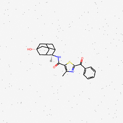 Cc1nc(C(=O)c2ccccc2)sc1C(=O)N[C@H]1C2CC3CC1C[C@](O)(C3)C2